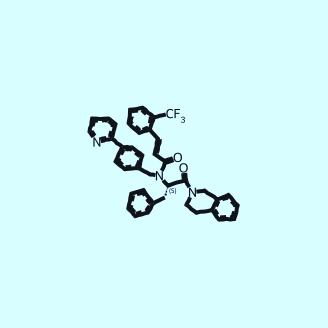 O=C([C@H](Cc1ccccc1)N(Cc1ccc(-c2ccccn2)cc1)C(=O)C=Cc1ccccc1C(F)(F)F)N1CCc2ccccc2C1